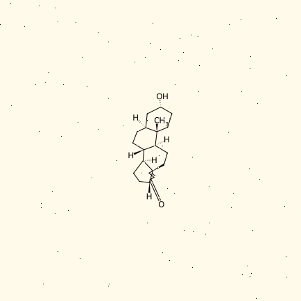 C[C@]12CC[C@@H](O)C[C@@H]1CC[C@@H]1[C@@H]2CC[C@]23C=CC(=O)[C@H]2CC[C@@H]13